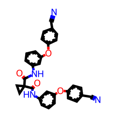 N#Cc1ccc(Oc2cccc(NC(=O)C3(C(=O)Nc4cccc(Oc5ccc(C#N)cc5)c4)CC3)c2)cc1